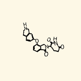 O=C1CCC(N2Cc3c(Oc4ccc5c(c4)CNCC5)cccc3C2=O)C(=O)N1